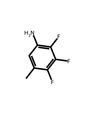 Cc1cc(N)c(F)c(F)c1F